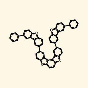 c1ccc(-c2ccc3oc4ccc(-c5ccc6sc7ccc8sc9ccc(-c%10ccc%11oc%12ccc(-c%13ccccc%13)cc%12c%11c%10)cc9c8c7c6c5)cc4c3c2)cc1